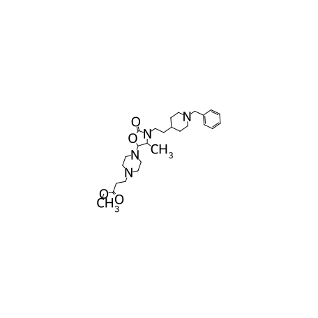 COC(=O)CCN1CCN(C2OC(=O)N(CCC3CCN(Cc4ccccc4)CC3)C2C)CC1